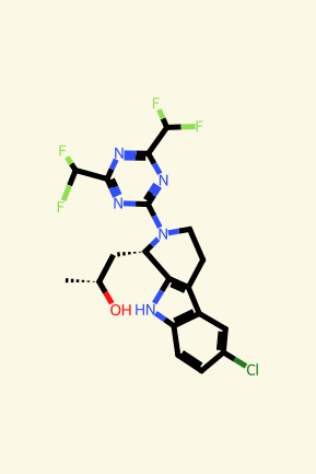 C[C@@H](O)C[C@H]1c2[nH]c3ccc(Cl)cc3c2CCN1c1nc(C(F)F)nc(C(F)F)n1